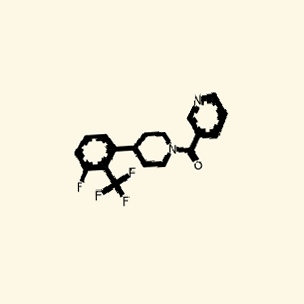 O=C(c1cccnc1)N1CCC(c2cccc(F)c2C(F)(F)F)CC1